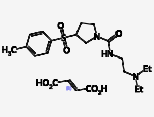 CCN(CC)CCNC(=O)N1CCC(S(=O)(=O)c2ccc(C)cc2)C1.O=C(O)/C=C/C(=O)O